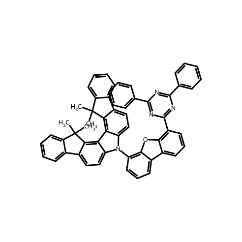 CC1(C)c2ccccc2-c2ccc3c(c21)c1c2c(ccc1n3-c1cccc3c1oc1c(-c4nc(-c5ccccc5)nc(-c5ccccc5)n4)cccc13)-c1ccccc1C2(C)C